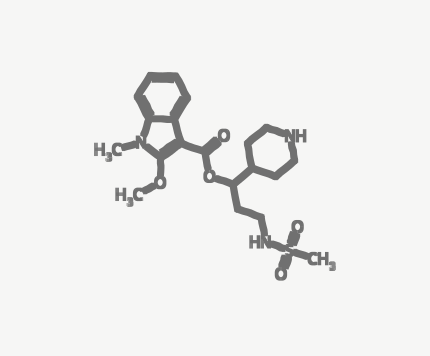 COc1c(C(=O)OC(CCNS(C)(=O)=O)C2CCNCC2)c2ccccc2n1C